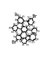 Brc1ccc(-c2c(C3=C=C=CC=C3)c(-n3c4c(c5ccccc53)C=CCC4)c(-c3ccc(Br)cc3)c(-c3ccccc3)c2-c2ccc(Br)cc2)cc1